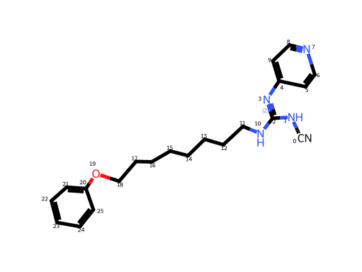 N#CN/C(=N\c1ccncc1)NCCCCCCCCOc1ccccc1